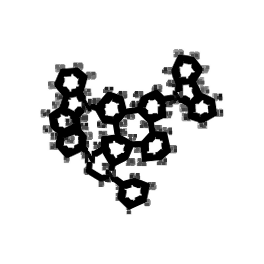 c1ccc(N2CCN(c3ccccc3)c3cc4c(cc32)-c2ccccc2-c2cc(-n3c5ccccc5c5ccccc53)ccc2-c2ccc(-n3c5ccccc5c5ccccc53)cc2-4)cc1